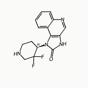 O=c1[nH]c2cnc3ccccc3c2n1[C@@H]1CCNCC1(F)F